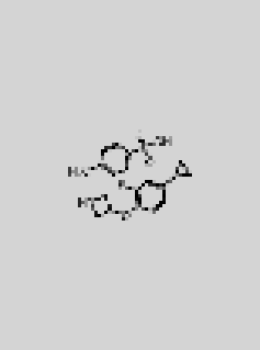 Cc1ccc(S(=O)(=O)O)cc1.Fc1cc(C2CC2)ccc1OC1CNC1